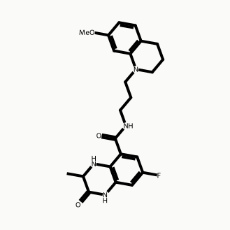 COc1ccc2c(c1)N(CCCNC(=O)c1cc(F)cc3c1NC(C)C(=O)N3)CCC2